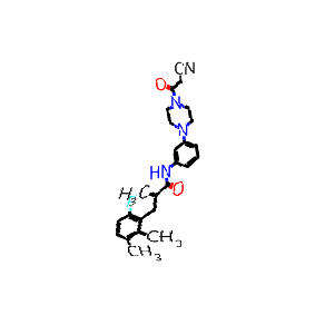 Cc1ccc(F)c(CC(C)C(=O)Nc2cccc(N3CCN(C(=O)CC#N)CC3)c2)c1C